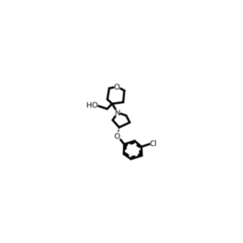 OCC1(N2CC[C@H](Oc3cccc(Cl)c3)C2)CCOCC1